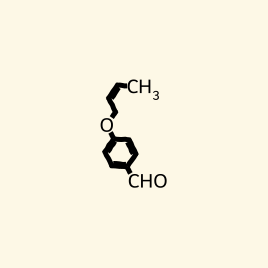 C/C=C\COc1ccc(C=O)cc1